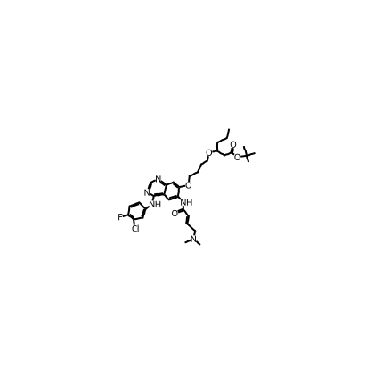 CCCC(CC(=O)OC(C)(C)C)OCCCCOc1cc2ncnc(Nc3ccc(F)c(Cl)c3)c2cc1NC(=O)/C=C/CN(C)C